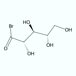 O=C(Br)[C@@H](O)[C@@H](O)[C@@H](O)CO